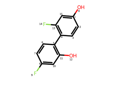 Oc1ccc(-c2ccc(F)cc2O)c(F)c1